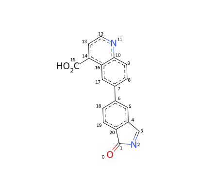 O=C1N=Cc2cc(-c3ccc4nccc(C(=O)O)c4c3)ccc21